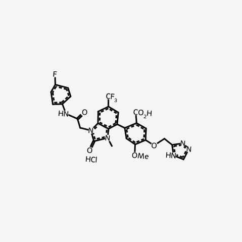 COc1cc(-c2cc(C(F)(F)F)cc3c2n(C)c(=O)n3CC(=O)Nc2ccc(F)cc2)c(C(=O)O)cc1OCc1nnc[nH]1.Cl